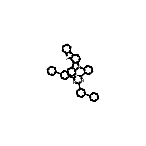 c1ccc(-c2ccc(-c3nc(-c4cccc(-c5ccccc5)c4)nc(-c4ccccc4-n4c5ccccc5c5c6sc7ccccc7c6ccc54)n3)cc2)cc1